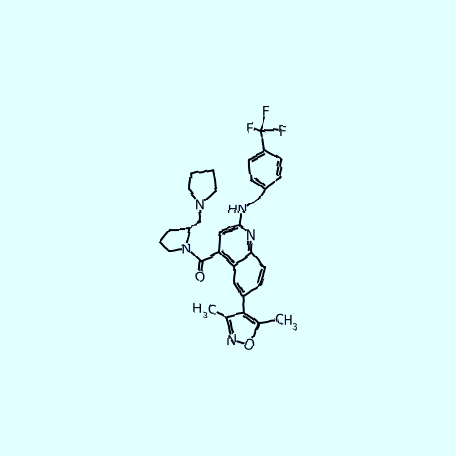 Cc1noc(C)c1-c1ccc2nc(NCc3ccc(C(F)(F)F)cc3)cc(C(=O)N3CCC[C@H]3CN3CCCC3)c2c1